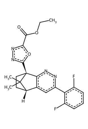 CCOC(=O)c1nnc([C@@]23CC[C@@H](c4cc(-c5c(F)cccc5F)nnc42)C3(C)C)o1